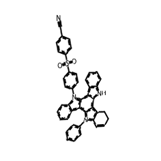 N#Cc1ccc(S(=O)(=O)c2ccc(-n3c4ccccc4c4c5c(c6c(n5-c5ccccc5)C=CCC6)c5[nH]c6ccccc6c5c43)cc2)cc1